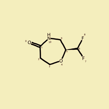 O=C1CCO[C@H](C(F)F)CN1